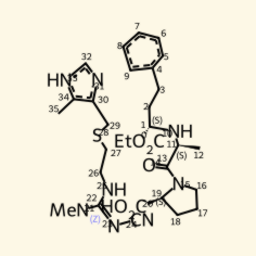 CCOC(=O)[C@H](CCc1ccccc1)N[C@@H](C)C(=O)N1CCC[C@H]1C(=O)O.CN/C(=N/C#N)NCCSCc1nc[nH]c1C